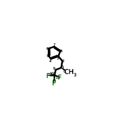 C[C@H](Cc1cc[c]cc1)CC(F)(F)F